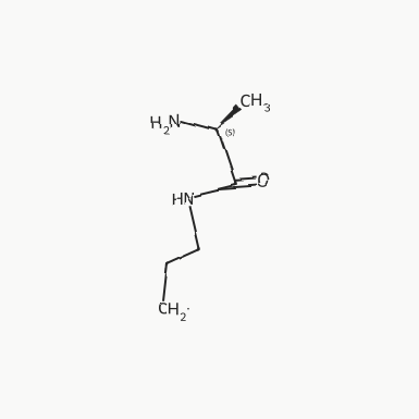 [CH2]CCNC(=O)[C@H](C)N